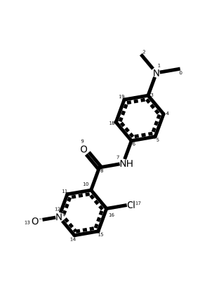 CN(C)c1ccc(NC(=O)c2c[n+]([O-])ccc2Cl)cc1